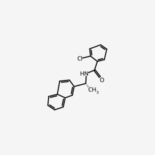 C[C@@H](NC(=O)c1ccccc1Cl)c1ccc2ccccc2c1